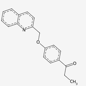 CCC(=O)c1ccc(OCc2ccc3ccccc3n2)cc1